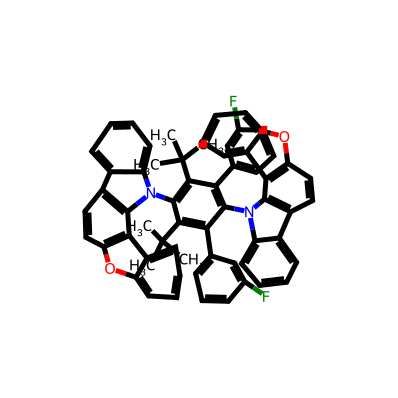 CC(C)(C)c1c(-c2cccc(F)c2)c(-n2c3ccccc3c3ccc4oc5ccccc5c4c32)c(-c2cccc(F)c2)c(C(C)(C)C)c1-n1c2ccccc2c2ccc3oc4ccccc4c3c21